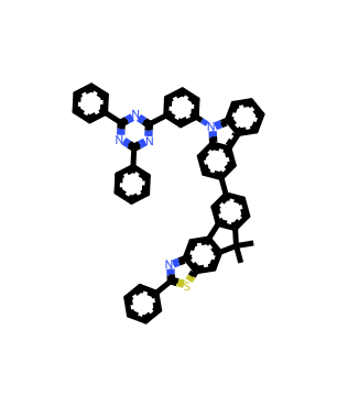 CC1(C)c2ccc(-c3ccc4c(c3)c3ccccc3n4-c3cccc(-c4nc(-c5ccccc5)nc(-c5ccccc5)n4)c3)cc2-c2cc3nc(-c4ccccc4)sc3cc21